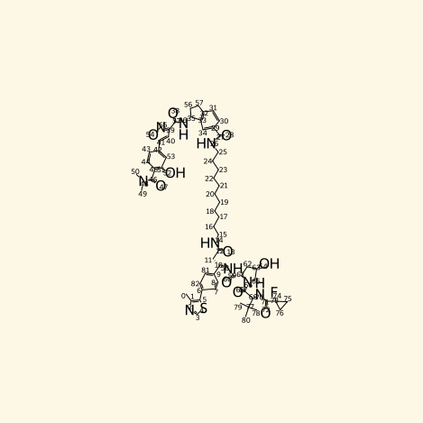 Cc1ncsc1-c1ccc([C@H](CC(=O)NCCCCCCCCCCCNC(=O)c2ccc3c(c2)[C@H](NC(=O)c2cc(-c4ccc(C(=O)N(C)C)c(O)c4)on2)CC3)NC(=O)[C@@H]2C[C@@H](O)CN2C(=O)[C@@H](NC(=O)C2(F)CC2)C(C)(C)C)cc1